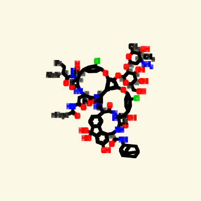 CCCCCCCC(=O)NC(=O)C[C@@H]1NC(=O)[C@H](NC(=O)[C@@H](CC(C)C)NC)[C@H](O)c2ccc(c(Cl)c2)Oc2cc3cc(c2O[C@@H]2O[C@H](CO)[C@@H](O)[C@H](O)[C@H]2O[C@H]2C[C@](C)(N)[C@H](O)[C@H](C)O2)Oc2ccc(cc2Cl)[C@@H](O)[C@@H]2NC(=O)[C@H](NC(=O)[C@@H]3NC1=O)c1ccc3c(c1)-c1c(cc(O)cc1C3(O)O)[C@@H](C(=O)NC1C3CC4CC(C3)CC1C4)NC2=O